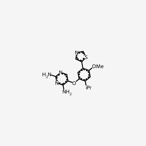 COc1cc(C(C)C)c(Oc2cnc(N)nc2N)cc1-c1cncs1